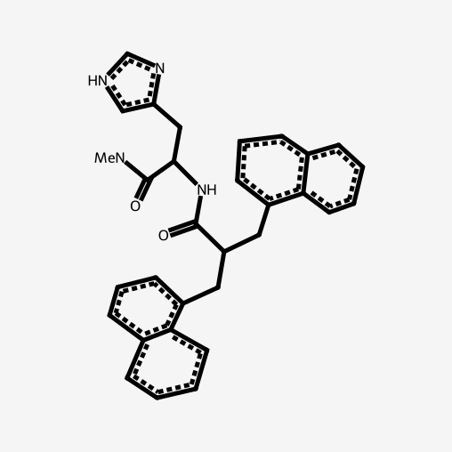 CNC(=O)C(Cc1c[nH]cn1)NC(=O)C(Cc1cccc2ccccc12)Cc1cccc2ccccc12